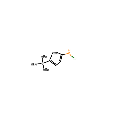 CCCC[Si](CCCC)(CCCC)c1ccc(PCl)cc1